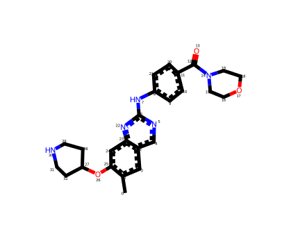 Cc1cc2cnc(Nc3ccc(C(=O)N4CCOCC4)cc3)nc2cc1OC1CCNCC1